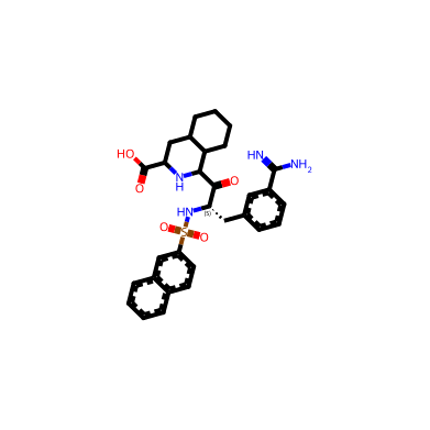 N=C(N)c1cccc(C[C@H](NS(=O)(=O)c2ccc3ccccc3c2)C(=O)C2NC(C(=O)O)CC3CCCCC32)c1